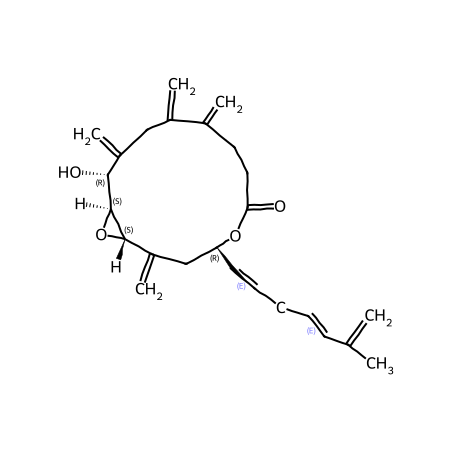 C=C(C)/C=C/C/C=C/[C@H]1CC(=C)[C@@H]2O[C@H]2[C@H](O)C(=C)CC(=C)C(=C)CCC(=O)O1